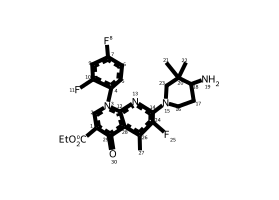 CCOC(=O)c1cn(-c2ccc(F)cc2F)c2nc(N3CCC(N)C(C)(C)C3)c(F)c(C)c2c1=O